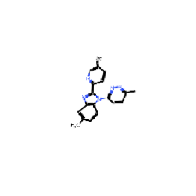 CC(=O)c1ccc(-c2nc3cc(C(F)(F)F)ccc3n2-c2ccc(C)nn2)nc1